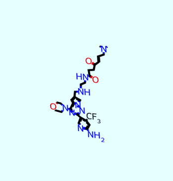 CN(C)C/C=C/C(=O)CCC(=O)NCCNCc1cc2c(N3CCOCC3)nc(-c3cnc(N)cc3C(F)(F)F)nn2c1